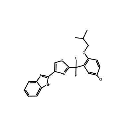 CC(C)COc1ccc(Cl)cc1C(F)(F)c1nc(-c2nc3ccccc3[nH]2)cs1